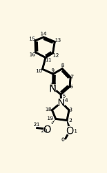 CO[C@@H]1CN(c2cccc(Cc3ccccc3)n2)C[C@H]1OC